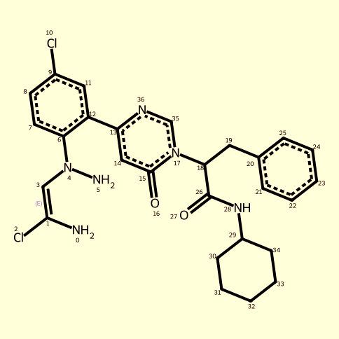 N/C(Cl)=C\N(N)c1ccc(Cl)cc1-c1cc(=O)n(C(Cc2ccccc2)C(=O)NC2CCCCC2)cn1